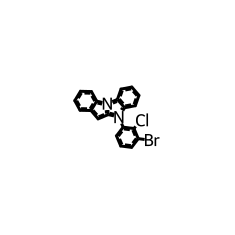 Clc1c(Br)cccc1-n1c2ccccc2n2c3ccccc3cc12